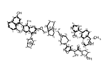 CCc1cccc2cc(O)cc(-c3ncc4c(N5CC6CCC(C5)N6)nc(OC[C@@]56CCCN5[C@H](CN5CCN(c7cc([C@@H](C(=O)N8C[C@H](O)C[C@H]8C(=O)N[C@@H](C)c8ccc(-c9scnc9C)cc8)C(C)C)on7)CC5)CC6)nc4c3F)c12